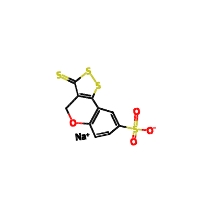 O=S(=O)([O-])c1ccc2c(c1)-c1ssc(=S)c1CO2.[Na+]